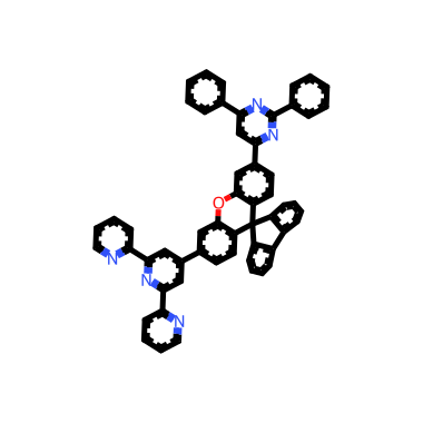 c1ccc(-c2cc(-c3ccc4c(c3)Oc3cc(-c5cc(-c6ccccn6)nc(-c6ccccn6)c5)ccc3C43c4ccccc4-c4ccccc43)nc(-c3ccccc3)n2)cc1